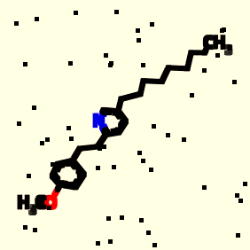 CCCCCCCCCc1ccc(CCc2ccc(OC)cc2)nc1